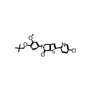 COc1cc(N2Cc3cc(-c4ccc(Cl)cn4)sc3C2=O)ccc1OCC(C)(C)C